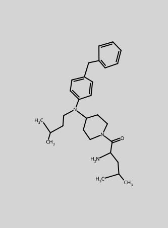 CC(C)CCN(c1ccc(Cc2ccccc2)cc1)C1CCN(C(=O)C(N)CC(C)C)CC1